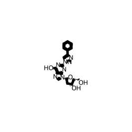 OC[C@H]1O[C@@H](n2cnc3c(O)nc(-n4cc(-c5ccccc5)nn4)nc32)C[C@@H]1O